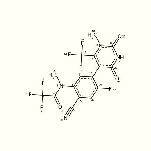 CN(C(=O)C(F)(F)F)c1cc(-c2c(C(F)(F)F)n(C)c(=O)[nH]c2=O)c(F)cc1C#N